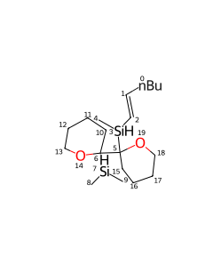 CCCCC=C[SiH](C)C1(C2([SiH](C)C)CCCCO2)CCCCO1